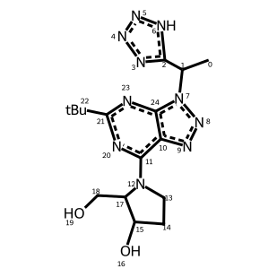 CC(c1nnn[nH]1)n1nnc2c(N3CCC(O)C3CO)nc(C(C)(C)C)nc21